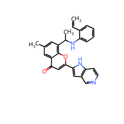 C=Cc1ccccc1NC(C)c1cc(C)cc2c(=O)cc(-c3cc4cnccc4[nH]3)oc12